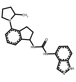 CC1CCCN1c1cccc2c1CCC2NC(=O)Nc1cccc2[nH]ncc12